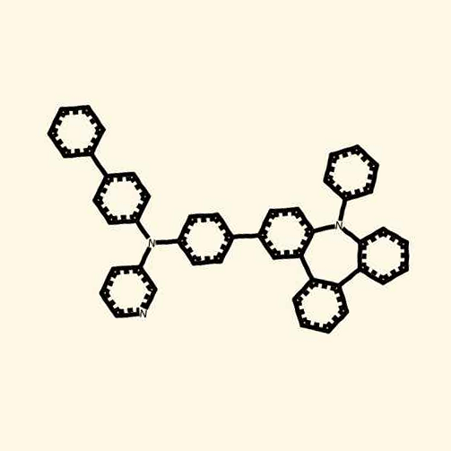 c1ccc(-c2ccc(N(c3ccc(-c4ccc5c(c4)-c4ccccc4-c4ccccc4N5c4ccccc4)cc3)c3cccnc3)cc2)cc1